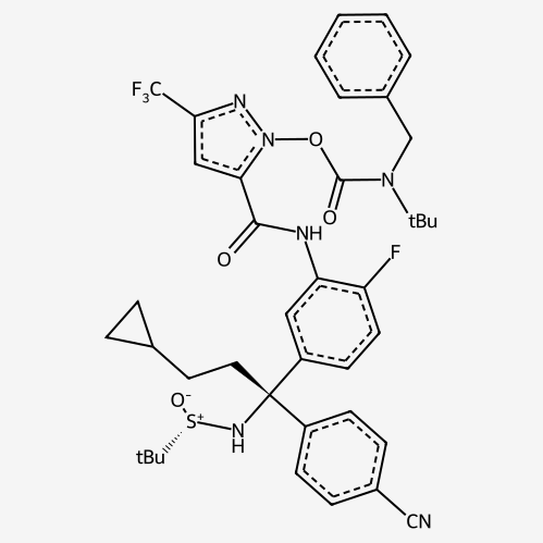 CC(C)(C)N(Cc1ccccc1)C(=O)On1nc(C(F)(F)F)cc1C(=O)Nc1cc([C@@](CCC2CC2)(N[S@@+]([O-])C(C)(C)C)c2ccc(C#N)cc2)ccc1F